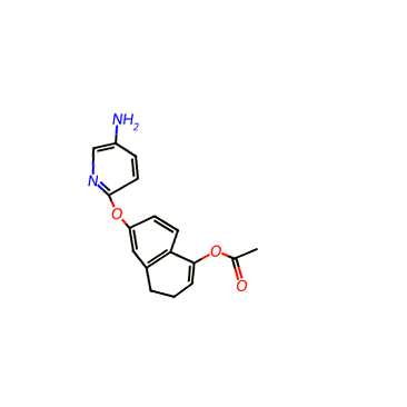 CC(=O)OC1=CCCc2cc(Oc3ccc(N)cn3)ccc21